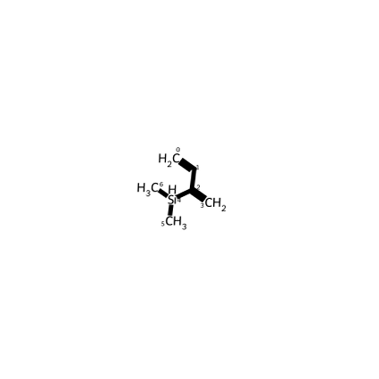 C=CC(=C)[SiH](C)C